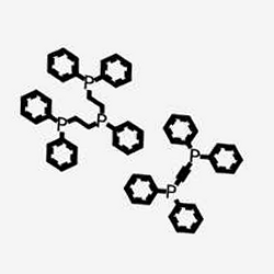 C(#CP(c1ccccc1)c1ccccc1)P(c1ccccc1)c1ccccc1.c1ccc(P(CCP(c2ccccc2)c2ccccc2)CCP(c2ccccc2)c2ccccc2)cc1